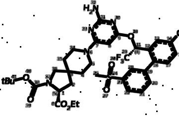 CCOC(=O)[C@@H]1CC2(CCN(c3cc(O[C@H](c4cc(Cl)ccc4-c4cccc(S(C)(=O)=O)c4)C(F)(F)F)nc(N)n3)CC2)CN1C(=O)OC(C)(C)C